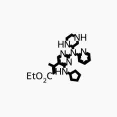 CCOC(=O)C=C(C)c1cnc(N(c2ccccn2)C2CNCCN2)nc1NC1CCCC1